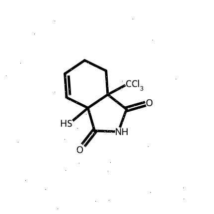 O=C1NC(=O)C2(C(Cl)(Cl)Cl)CCC=CC12S